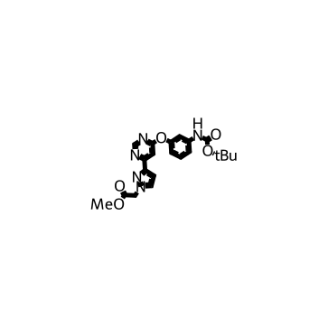 COC(=O)Cn1ccc(-c2cc(Oc3cccc(NC(=O)OC(C)(C)C)c3)ncn2)n1